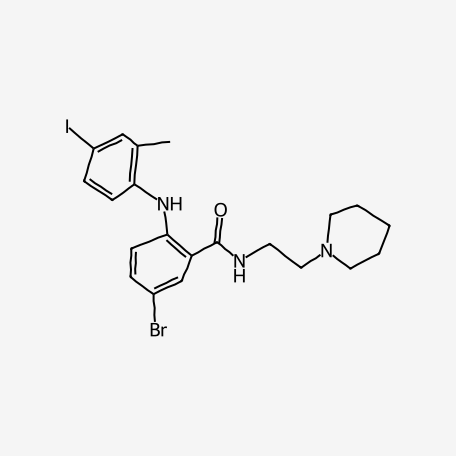 Cc1cc(I)ccc1Nc1ccc(Br)cc1C(=O)NCCN1CCCCC1